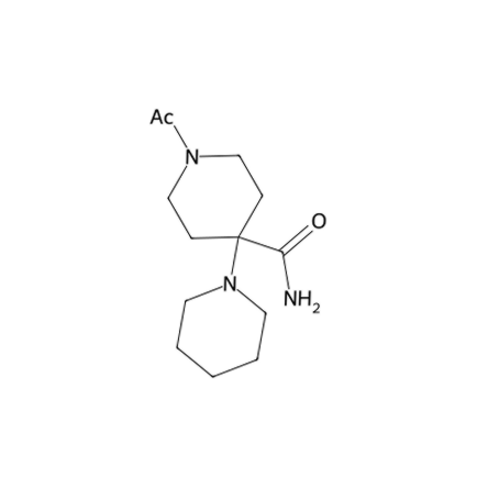 CC(=O)N1CCC(C(N)=O)(N2CCCCC2)CC1